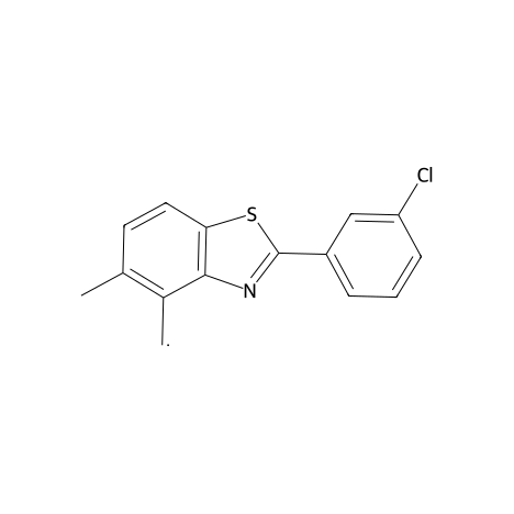 [CH2]c1c(C)ccc2sc(-c3cccc(Cl)c3)nc12